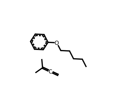 C=C=C(C)C.CCCCCOc1ccccc1